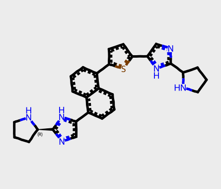 c1cc(-c2ccc(-c3cnc(C4CCCN4)[nH]3)s2)c2cccc(-c3cnc([C@H]4CCCN4)[nH]3)c2c1